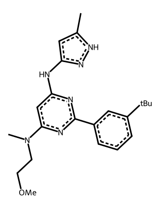 COCCN(C)c1cc(Nc2cc(C)[nH]n2)nc(-c2cccc(C(C)(C)C)c2)n1